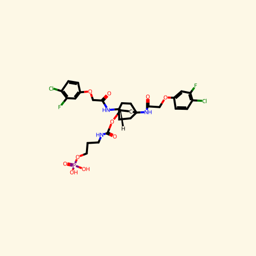 O=C(COc1ccc(Cl)c(F)c1)NC12CCC(NC(=O)COc3ccc(Cl)c(F)c3)(CC1)[C@@H](OC(=O)NCCCOP(=O)(O)O)C2